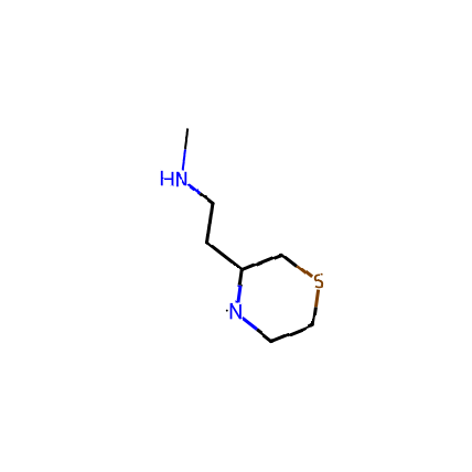 CNCCC1CSCC[N]1